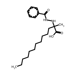 CCCCCCCCCCCC(C)(NNC(=O)c1ccccc1)C(=O)O